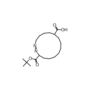 CC(C)(C)OC(=O)C1CCCCCCCC(C(=O)O)CCCCN=N1